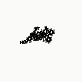 COC(=O)N[C@H](C(=O)N[C@H](CCC[C@@H](CO)N(CCC(C)C)S(=O)(=O)c1ccc(CO)cc1)C1CC1)C(c1ccccc1)c1ccccc1